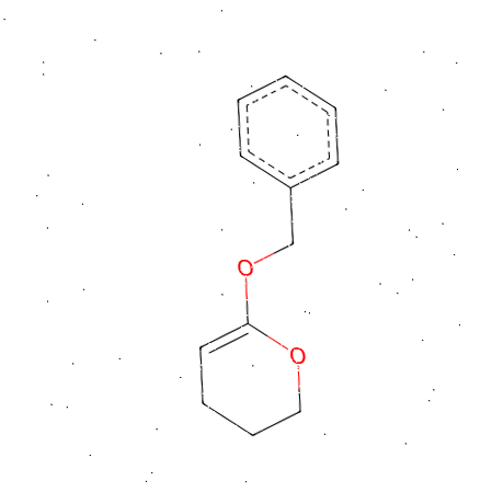 C1=C(OCc2ccccc2)OCCC1